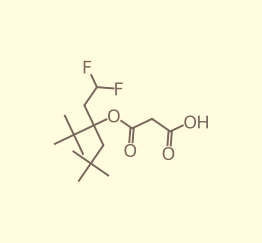 CC(C)(C)CC(CC(F)F)(OC(=O)CC(=O)O)C(C)(C)C